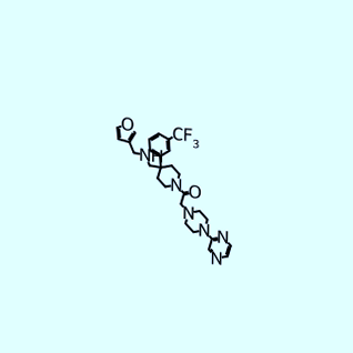 O=C(CN1CCN(c2cnccn2)CC1)N1CCC(CNCc2ccoc2)(c2cccc(C(F)(F)F)c2)CC1